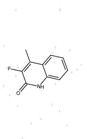 Cc1c(F)c(=O)[nH]c2ccccc12